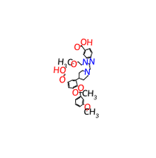 COCCn1c(CN2CCC(c3cccc4c3OC(C)(c3cccc(OC)c3)O4)CC2)nc2ccc(C(=O)O)cc21.O=CO